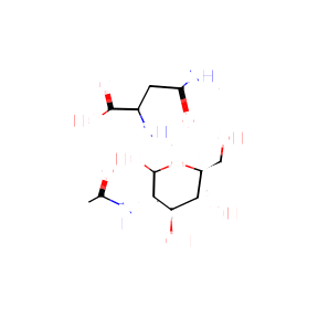 CC(=O)N[C@@H]1C(O)O[C@@H](CO)[C@H](O)[C@H]1O.NC(=O)CC(N)C(=O)O